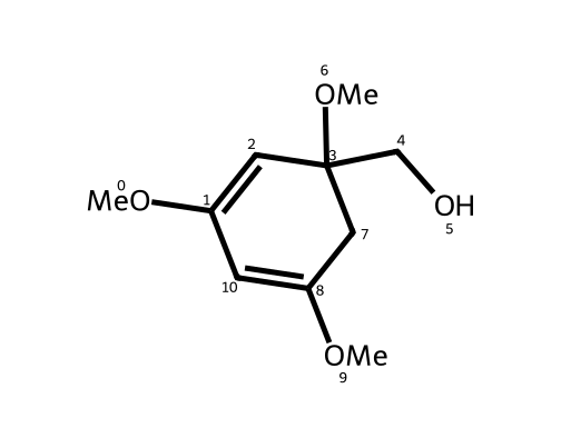 COC1=CC(CO)(OC)CC(OC)=C1